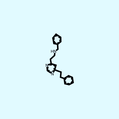 c1ccc(CCc2cc(CCNCc3ccccc3)ncn2)cc1